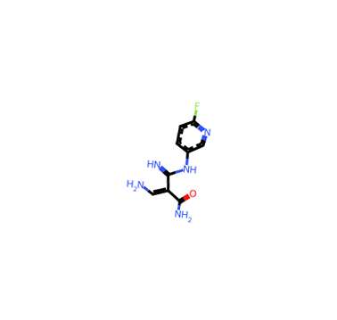 N=C(Nc1ccc(F)nc1)/C(=C\N)C(N)=O